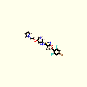 Cc1c(OCc2c(F)cc(Br)cc2F)nsc1Nc1cncc(OCCN2CCCC2)c1